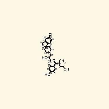 CN(CCO)C(=O)c1ccc(O)cc1OC[C@@H](O)CN1CCC2(CC1)OCc1cc(Cl)ccc12